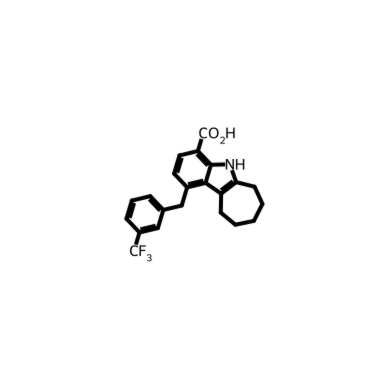 O=C(O)c1ccc(Cc2cccc(C(F)(F)F)c2)c2c3c([nH]c12)CCCCC3